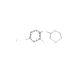 O=C(O)c1ccc(OC2CCCCC2)c(C(F)(F)F)c1